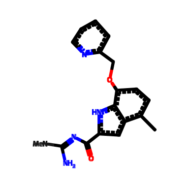 CNC(N)=NC(=O)c1cc2c(C)ccc(OCc3ccccn3)c2[nH]1